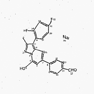 Cc1nn2c(O)cc(-c3ccc(C=O)nc3)nc2c1-c1ccc(F)cc1F.[Na]